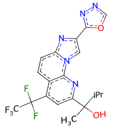 CC(C)C(C)(O)c1cc(C(F)(F)C(F)(F)F)c2ccc3nc(-c4nnco4)cn3c2n1